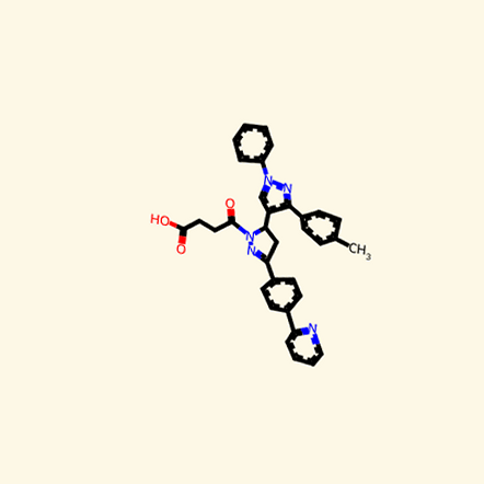 Cc1ccc(-c2nn(-c3ccccc3)cc2C2CC(c3ccc(-c4ccccn4)cc3)=NN2C(=O)CCC(=O)O)cc1